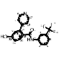 O=C(Nc1cccc(C(F)(F)F)c1)c1c(-c2ccncc2)c2oc1cc2O